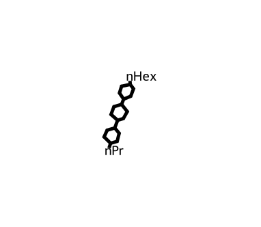 CCCCCCC1CCC(C2CCC(C3CCC(CCC)CC3)CC2)CC1